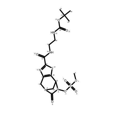 COS(=O)(=O)ON1C(=O)N2Cc3nc(C(=O)NCCNC(=O)OC(C)(C)C)sc3C1C2